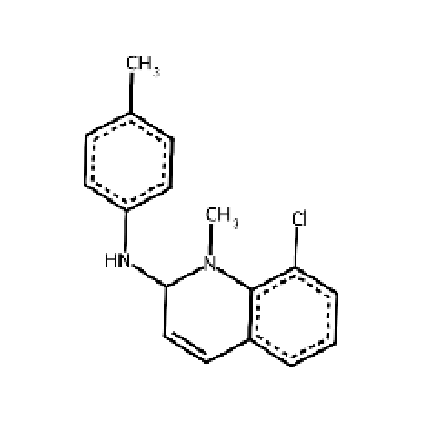 Cc1ccc(NC2C=Cc3cccc(Cl)c3N2C)cc1